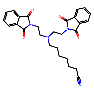 N#CCCCCCCN(CCN1C(=O)c2ccccc2C1=O)CCN1C(=O)c2ccccc2C1=O